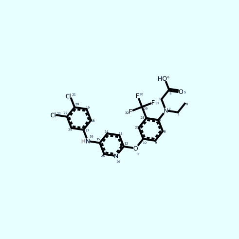 CCN(CC(=O)O)c1ccc(Oc2ccc(Nc3ccc(Cl)c(Cl)c3)cn2)cc1C(F)(F)F